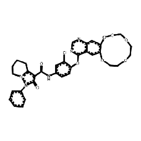 O=C(Nc1ccc(Oc2ncnc3cc4c(cc23)OCCOCCOCCO4)c(Cl)c1)c1c2n(n(-c3ccccc3)c1=O)CCCC2